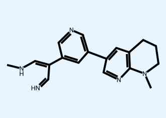 CN/C=C(\C=N)c1cncc(-c2cnc3c(c2)CCCN3C)c1